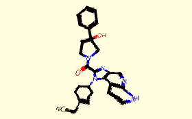 N#CC[C@H]1CC[C@@H](n2c(C(=O)N3CCC(O)(c4ccccc4)C3)nc3cnc4[nH]ccc4c32)CC1